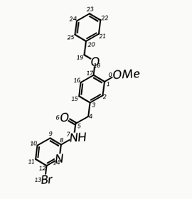 COc1cc(CC(=O)Nc2cccc(Br)n2)ccc1OCc1ccccc1